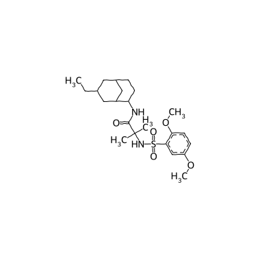 CCC1CC2CCC(NC(=O)C(C)(C)NS(=O)(=O)c3cc(OC)ccc3OC)C(C1)C2